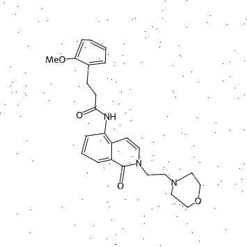 COc1ccccc1CCC(=O)Nc1cccc2c(=O)n(CCN3CCOCC3)ccc12